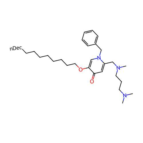 CCCCCCCCCCCCCCCCCCOc1cn(Cc2ccccc2)c(CN(C)CCCN(C)C)cc1=O